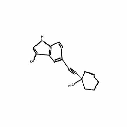 OC1(C#Cc2ccc3[nH]cc(Br)c3c2)CCCCC1